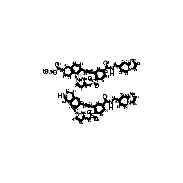 Cn1ccc(CS(=O)(=O)c2ccc(C(=O)NCc3ccn4ccnc4c3)cc2C#Cc2ccc3c(c2)CCN(C(=O)OC(C)(C)C)C3)n1.Cn1ccc(CS(=O)(=O)c2ccc(C(=O)NCc3ccn4ccnc4c3)cc2C#Cc2ccc3c(c2)CCNC3)n1